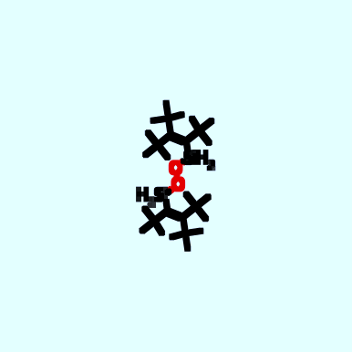 CC(C)(C)C([SiH2]OO[SiH2]C(=C(C(C)(C)C)C(C)(C)C)C(C)(C)C)=C(C(C)(C)C)C(C)(C)C